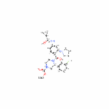 CC(C)(C)OC(=O)N1CCN(C(=O)c2ccc(NC(=O)C3CC3)cc2N2CCCC2)C(c2cccc(F)c2)C1